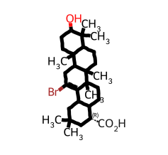 CC1(C)CC2C3=C(Br)CC4C5(C)CCC(O)C(C)(C)C5CCC4(C)C3(C)CCC2[C@H](C(=O)O)C1